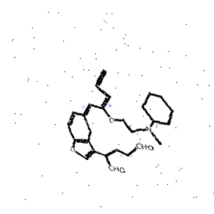 C=C/C=C(\C=C1\C=Cc2occ(C(C=O)CCC=O)c2C1)OCCN(C)C1CCCCC1